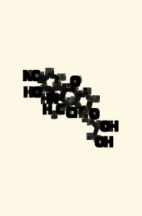 CC1(C)c2cc(OC[C@@H](O)CO)ccc2C(=O)c2c1[nH]c1c(O)c(C#N)ccc21